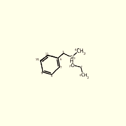 CCO[SiH](C)Cc1ccccc1